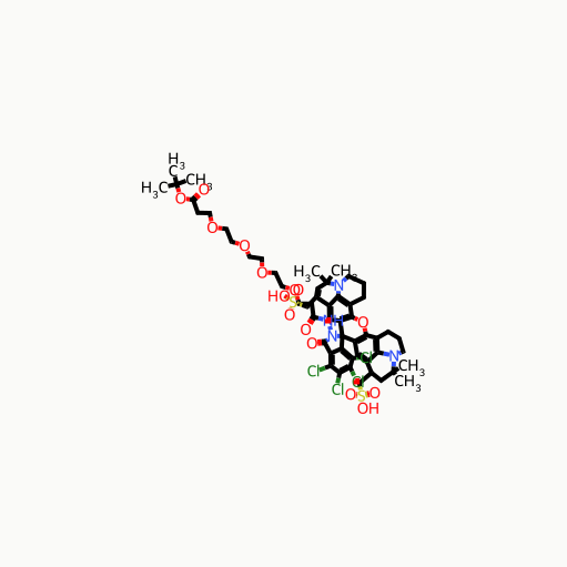 CC(C)(C)OC(=O)CCOCCOCCOCCOCCC(=O)NN1C(=O)c2c(Cl)c(Cl)c(Cl)c(Cl)c2C12c1cc3c4c(c1Oc1c2cc2c5c1CCCN5C(C)(C)CC2CS(=O)(=O)O)CCCN4C(C)(C)C=C3CS(=O)(=O)O